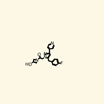 O=C(Cn1nc(-c2ccncc2)cc1Cc1ccc(F)cc1)N1CC(O)C1